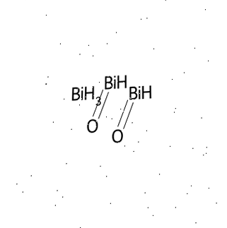 [BiH3].[O]=[BiH].[O]=[BiH]